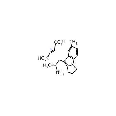 Cc1ccc2c(c1)c(CC(C)N)c1n2CCC1.O=C(O)/C=C/C(=O)O